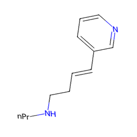 CCCNCCC=Cc1cccnc1